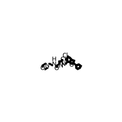 Cc1cc(C(=O)NCCN2CCOCC2)nn1Cc1cc(Cl)cc2cc(-c3ccccc3)oc12